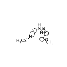 COc1ccccc1-c1cccn2nc(Nc3ccc4c(c3)CCN(CCSC)CC4)nc12